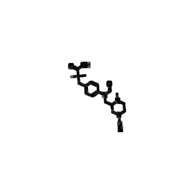 CN1CCB(C#N)CC1CN(C=O)c1ccc(CC(C)(C)C(=O)O)cc1